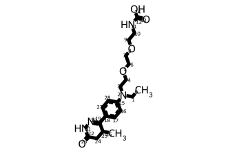 CCN(CCOCCOCCNC(=O)O)c1ccc(C2=NNC(=O)CC2C)cc1